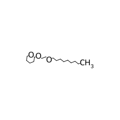 CCCCCCCCCOCCOC1CCCCO1